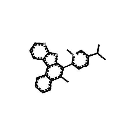 Cc1c(-c2ccc(C(C)C)c[n+]2C)c2oc3ncccc3c2c2ccccc12